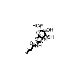 C/C=C/C(=O)NC1=N[C@H]2C(O[C@H](CO)[C@@H](O)[C@@H]2O)S1